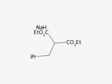 CCOC(=O)C(CC(C)C)C(=O)OCC.[NaH]